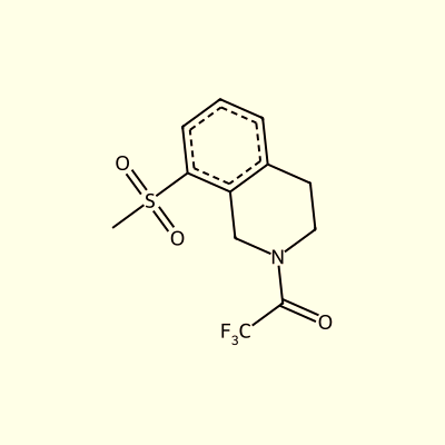 CS(=O)(=O)c1cccc2c1CN(C(=O)C(F)(F)F)CC2